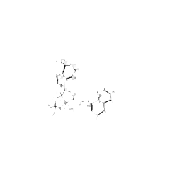 CC1(C)O[C@@H]2[C@H](O1)[C@@H](COc1cccc3cccnc13)O[C@H]2n1ccc2c(Cl)ncnc21